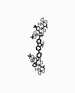 COC(=O)NC(C(=O)N1CC2(CC2)CC1c1ncc(-c2ccc3c(c2)C(F)(F)c2cc(-c4ccc5nc(C6[C@H]7CCC(C7)N6C(=O)C(NC(=O)OC)C(C)C)n(C(=O)OC(C)(C)C)c5c4)ccc2-3)n1C(=O)OC(C)(C)C)C(C)C